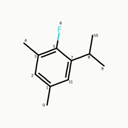 Cc1cc(C)c(F)c(C(C)C)c1